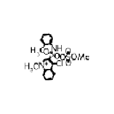 COS(=O)(=O)[O-].Cc1ccccc1NS(=O)(=O)c1c[n+](C)c2ccccc2c1Cl